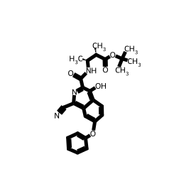 C[C@H](C(=O)OC(C)(C)C)[C@@H](C)NC(=O)c1nc(C#N)c2cc(Oc3ccccc3)ccc2c1O